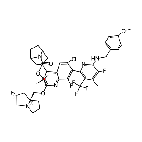 COc1ccc(CNc2nc(-c3c(Cl)cc4c(N5CC6CCC(C5)N6C(=O)OC(C)(C)C)nc(OC[C@@]56CCCN5C[C@H](F)C6)nc4c3F)c(C(F)(F)F)c(C)c2F)cc1